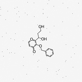 O=c1ccoc(C(O)CCO)c1OCc1ccccc1